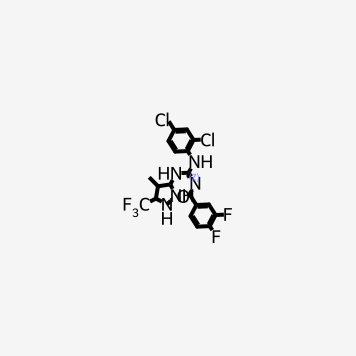 CC1C(N/C(=N\C(=O)c2ccc(F)c(F)c2)Nc2ccc(Cl)cc2Cl)NNC1C(F)(F)F